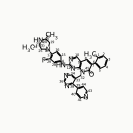 Cc1ccccc1-c1cc2cnc(Nc3ccc(N4C[C@@H](C)N[C@@H](C)C4)c(F)c3)nc2n(Cc2cncnc2-c2ccncc2)c1=O